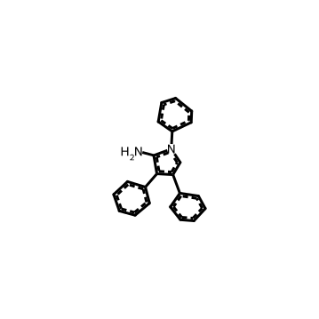 Nc1c(-c2ccccc2)c(-c2ccccc2)cn1-c1ccccc1